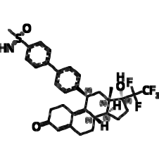 C[C@]12C[C@H](c3ccc(-c4ccc(S(C)(=N)=O)cc4)cc3)C3=C4CCC(=O)C=C4CC[C@H]3[C@@H]1CC[C@]2(O)C(F)(F)C(F)(F)F